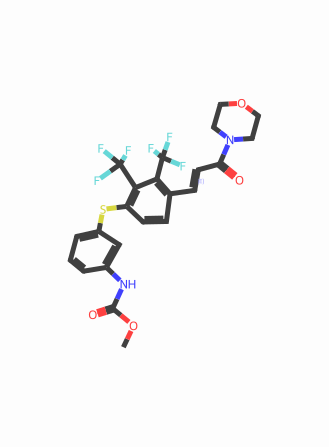 COC(=O)Nc1cccc(Sc2ccc(/C=C/C(=O)N3CCOCC3)c(C(F)(F)F)c2C(F)(F)F)c1